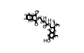 Cc1cc(O)cc(C)c1CC(CNC(=O)NCCN1C(=O)C2C3C=CC(O3)C2C1=O)N(C)C